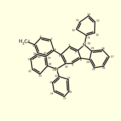 Cc1ccc(-c2cc3c(cc2N(c2ccccc2)c2ccccc2)c2ccccc2n3-c2ccccc2)cc1